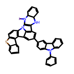 IN1c2c(c3cc(-c4ccc5c(c4)c4ccccc4n5-c4ccccc4)cc4c5c6c(ccc5n2c34)sc2ccccc26)NC2C=CC=CC21